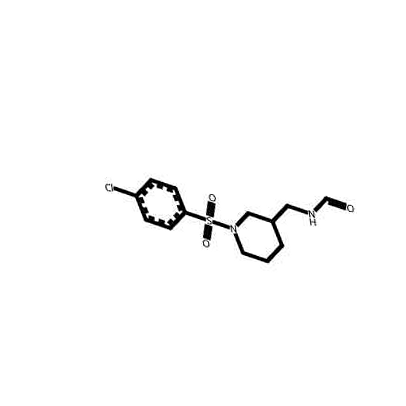 O=CNCC1CCCN(S(=O)(=O)c2ccc(Cl)cc2)C1